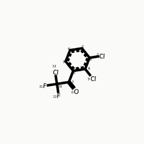 O=C(c1cccc(Cl)c1Cl)C(F)(F)Cl